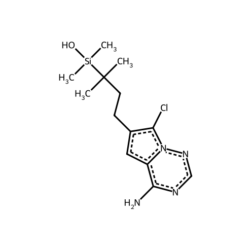 CC(C)(CCc1cc2c(N)ncnn2c1Cl)[Si](C)(C)O